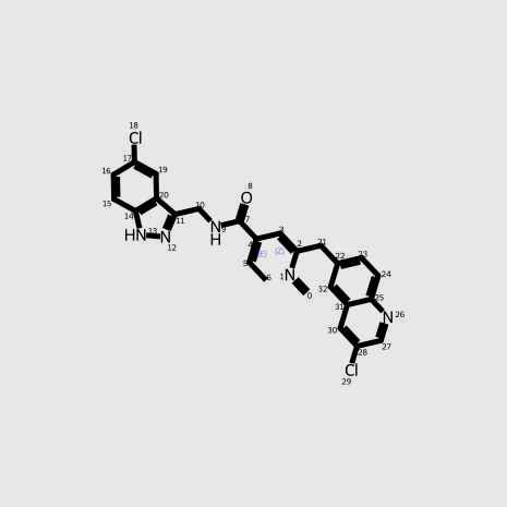 C=N/C(=C\C(=C/C)C(=O)NCc1n[nH]c2ccc(Cl)cc12)Cc1ccc2ncc(Cl)cc2c1